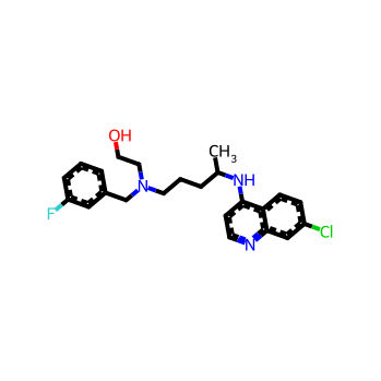 CC(CCCN(CCO)Cc1cccc(F)c1)Nc1ccnc2cc(Cl)ccc12